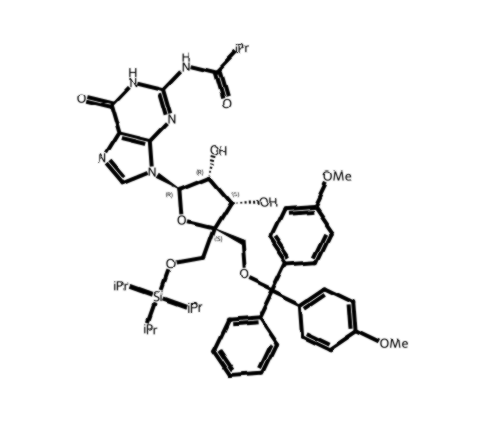 COc1ccc(C(OC[C@@]2(CO[Si](C(C)C)(C(C)C)C(C)C)O[C@@H](n3cnc4c(=O)[nH]c(NC(=O)C(C)C)nc43)[C@H](O)[C@@H]2O)(c2ccccc2)c2ccc(OC)cc2)cc1